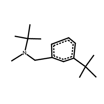 CN(Cc1cccc(C(C)(C)C)c1)C(C)(C)C